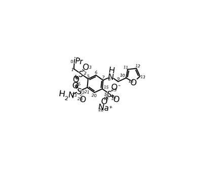 CC(C)CS(=O)(=O)c1cc(NCc2ccco2)c(S(=O)(=O)[O-])cc1S(N)(=O)=O.[Na+]